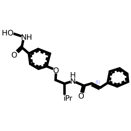 CC(C)C(COc1ccc(C(=O)NO)cc1)NC(=O)/C=C/c1ccccc1